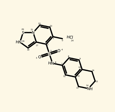 CC1=C(S(=O)(=O)Nc2ccc3c(c2)CNCC3)C2=CNSN2C=C1.Cl